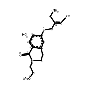 COCCN1CCc2cc(OC/C(=C/F)CN)ccc2C1=O.Cl